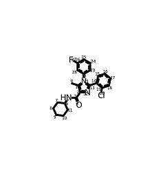 Cc1c(C(=O)NC2CCCCC2)nc(-c2ccccc2Cl)n1-c1cccc(F)c1